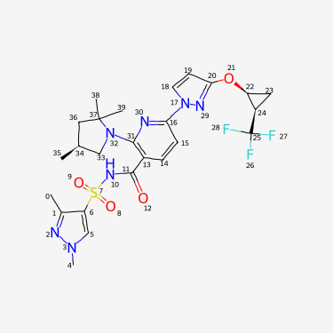 Cc1nn(C)cc1S(=O)(=O)NC(=O)c1ccc(-n2ccc(O[C@H]3C[C@H]3C(F)(F)F)n2)nc1N1C[C@@H](C)CC1(C)C